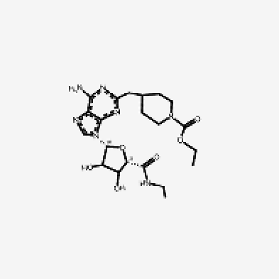 CCNC(=O)[C@H]1O[C@@H](n2cnc3c(N)nc(CC4CCN(C(=O)OCC)CC4)nc32)C(O)C1O